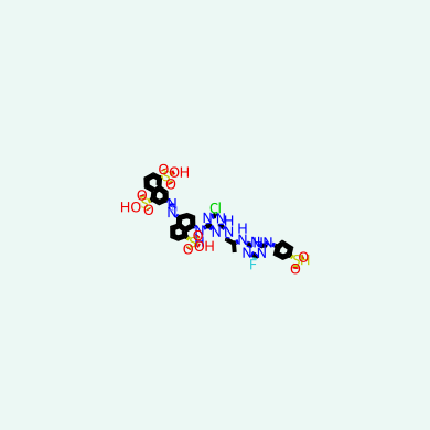 CC(CNc1nc(Cl)nc(Nc2ccc(/N=N/c3cc(S(=O)(=O)O)c4cccc(S(=O)(=O)O)c4c3)c3cccc(S(=O)(=O)O)c23)n1)Nc1nc(F)nc(Nc2ccc([SH](=O)=O)cc2)n1